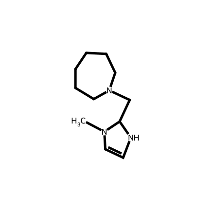 CN1C=CNC1CN1CCCCCC1